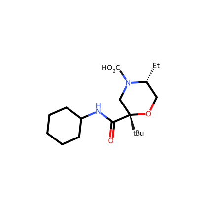 CC[C@@H]1CO[C@@](C(=O)NC2CCCCC2)(C(C)(C)C)CN1C(=O)O